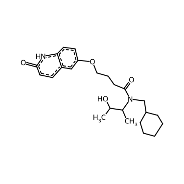 CC(O)C(C)N(CC1CCCCC1)C(=O)CCCOc1ccc2[nH]c(=O)ccc2c1